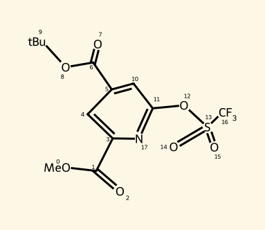 COC(=O)c1cc(C(=O)OC(C)(C)C)cc(OS(=O)(=O)C(F)(F)F)n1